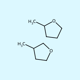 CC1CCCO1.CC1CCOC1